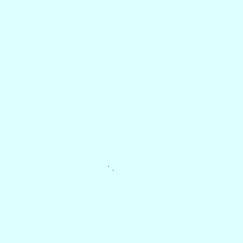 Cc1ccc(CCCCC(=O)N2CCOCC2)cc1